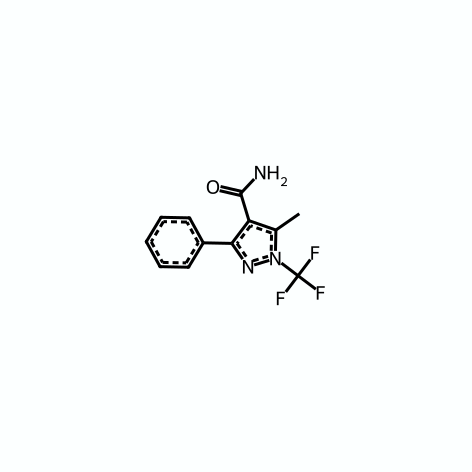 Cc1c(C(N)=O)c(-c2ccccc2)nn1C(F)(F)F